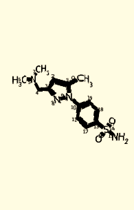 Cc1cc(CN(C)C)nn1-c1ccc(S(N)(=O)=O)cc1